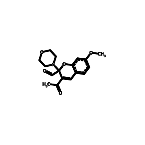 COc1ccc2c(c1)OC(C=O)(N1CCOCC1)C(C(C)=O)=C2